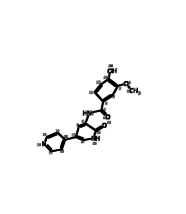 COc1cc(C(=O)Nc2cc(-c3ccncc3)c[nH]c2=O)ccc1O